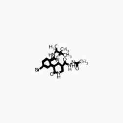 CC(=O)NNC(=O)c1c[nH]c(=O)c2c1nc(NC(C)C(C)(C)C)c1ccc(Br)cc12